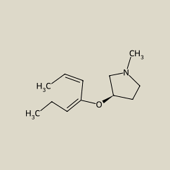 C/C=C\C(=C/CC)O[C@@H]1CCN(C)C1